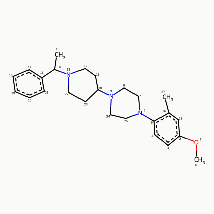 COc1ccc(N2CCN(C3CCN(C(C)c4ccccc4)CC3)CC2)c(C)c1